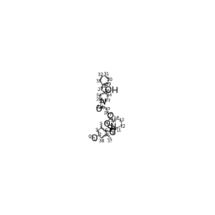 COc1cc(C)c(S(=O)(=O)N2CCCCC2COCCC(=O)N2CCC(O)(Cc3ccccc3)CC2)c(C)c1